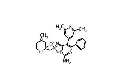 Cc1cc(C2=C(c3ccccc3)N=C(N)N3C[N+]([O-])(C[C@@H]4CN(C)CCO4)N=C23)cc(C)n1